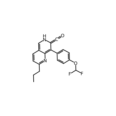 CCCc1ccc2c(n1)=C(c1ccc(OC(F)F)cc1)C(=C=O)NC=2